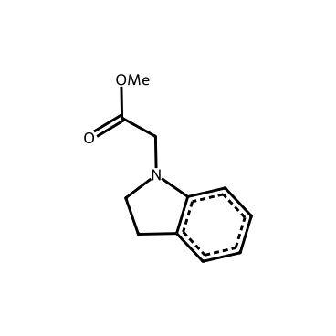 COC(=O)CN1CCc2ccccc21